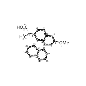 COc1ccc2cc([C@H](C)C(=O)O)ccc2c1.c1ccc2ccccc2c1